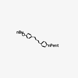 CCCCCc1ccc(/C=C/C=C/c2ccc(OCCCC)cc2)cc1